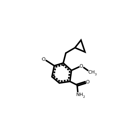 COc1c(C(N)=O)ccc([O])c1CC1CC1